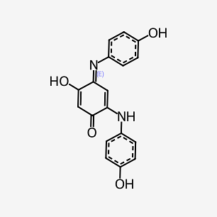 O=C1C=C(O)/C(=N/c2ccc(O)cc2)C=C1Nc1ccc(O)cc1